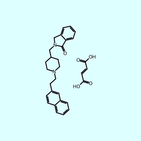 O=C(O)/C=C/C(=O)O.O=C1c2ccccc2CN1CC1CCN(CCc2ccc3ccccc3c2)CC1